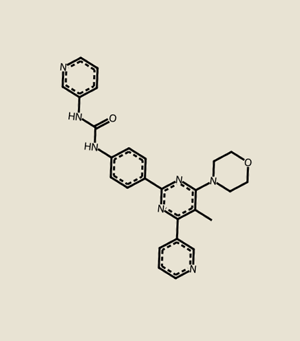 Cc1c(-c2cccnc2)nc(-c2ccc(NC(=O)Nc3cccnc3)cc2)nc1N1CCOCC1